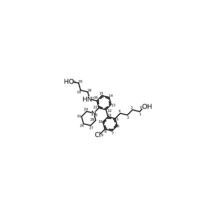 OCCCCc1[c]cc(Cl)cc1-c1cccc(NCCCO)c1N1CCCCC1